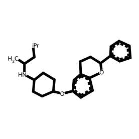 CC(C)CC(C)NC1CCC(Oc2ccc3c(c2)CCC(c2ccccc2)O3)CC1